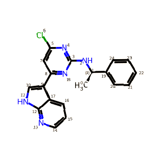 C[C@@H](Nc1nc(Cl)cc(-c2c[nH]c3ncccc23)n1)c1ccccc1